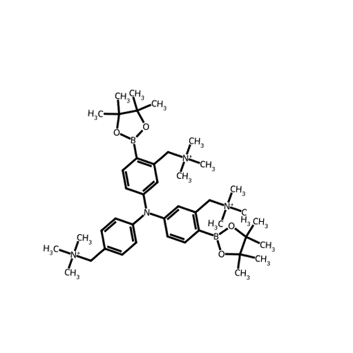 CC1(C)OB(c2ccc(N(c3ccc(C[N+](C)(C)C)cc3)c3ccc(B4OC(C)(C)C(C)(C)O4)c(C[N+](C)(C)C)c3)cc2C[N+](C)(C)C)OC1(C)C